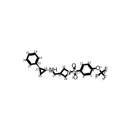 O=S(=O)(c1ccc(OC(F)(F)F)cc1)N1CC(CN[C@@H]2C[C@H]2c2ccccc2)C1